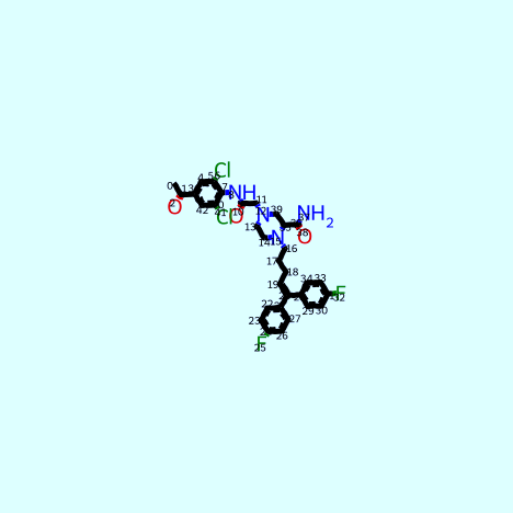 CC(=O)c1cc(Cl)c(NC(=O)CN2CCN(CCCC=C(c3ccc(F)cc3)c3ccc(F)cc3)C(C(N)=O)C2)c(Cl)c1